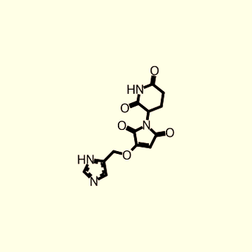 O=C1CCC(N2C(=O)C=C(OCc3cnc[nH]3)C2=O)C(=O)N1